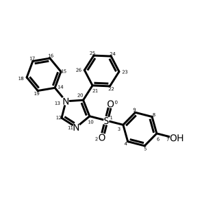 O=S(=O)(c1ccc(O)cc1)c1ncn(-c2ccccc2)c1-c1ccccc1